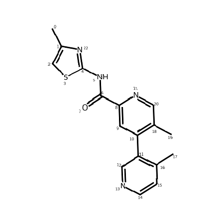 Cc1csc(NC(=O)c2cc(-c3cnccc3C)c(C)cn2)n1